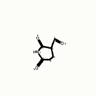 O=CC1CCC(=O)NC1=O